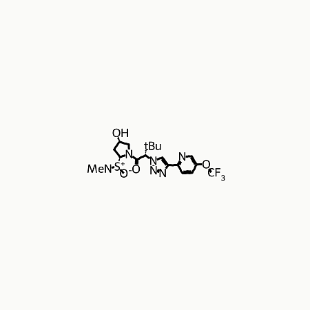 CN[S+]([O-])[C@@H]1C[C@@H](O)CN1C(=O)[C@@H](n1cc(-c2ccc(OC(F)(F)F)cn2)nn1)C(C)(C)C